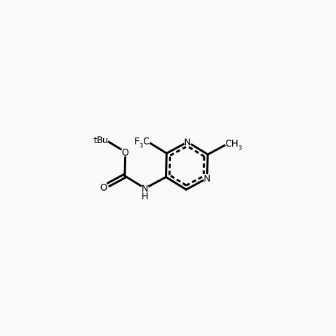 Cc1ncc(NC(=O)OC(C)(C)C)c(C(F)(F)F)n1